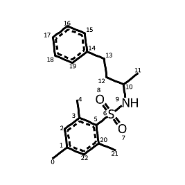 Cc1cc(C)c(S(=O)(=O)NC(C)CCc2ccccc2)c(C)c1